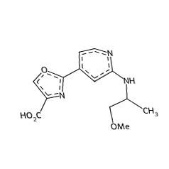 COCC(C)Nc1cc(-c2nc(C(=O)O)co2)ccn1